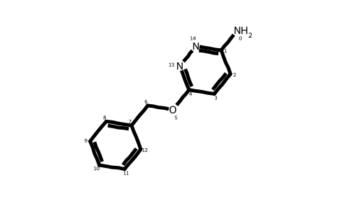 Nc1ccc(OCc2ccccc2)nn1